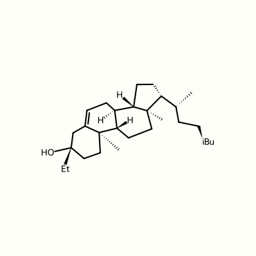 CC[C@H](C)CC[C@@H](C)[C@H]1CC[C@H]2[C@@H]3CC=C4C[C@](O)(CC)CC[C@]4(C)[C@H]3CC[C@]12C